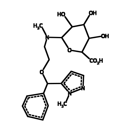 CN(CCOC(c1ccccc1)c1ccnn1C)C1OC(C(=O)O)C(O)C(O)C1O